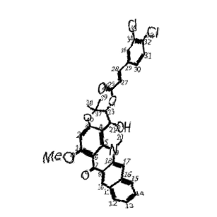 COc1cc2c(c3c1c(=O)c1cc4ccccc4cc1n3C)[C@H](O)[C@H](OC(=O)C=Cc1ccc(Cl)c(Cl)c1)C(C)(C)O2